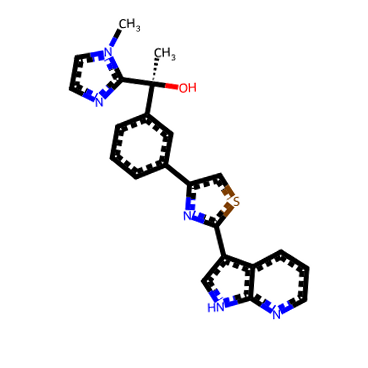 Cn1ccnc1[C@@](C)(O)c1cccc(-c2csc(-c3c[nH]c4ncccc34)n2)c1